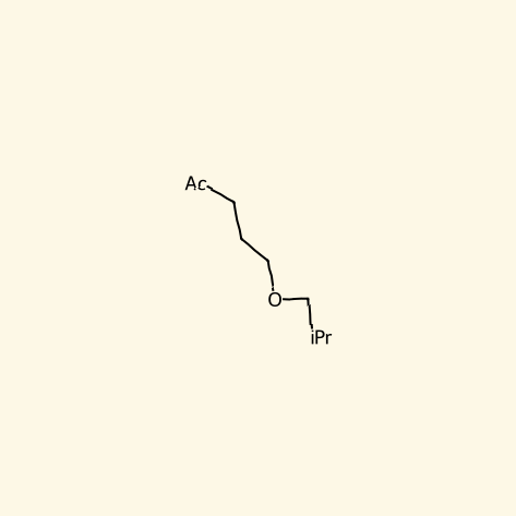 CC(=O)CCCOCC(C)C